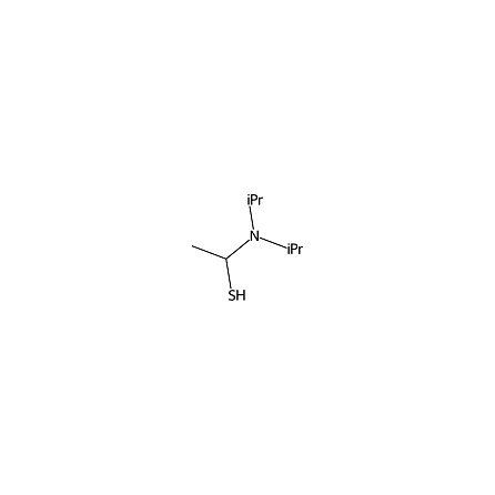 CC(C)N(C(C)C)C(C)S